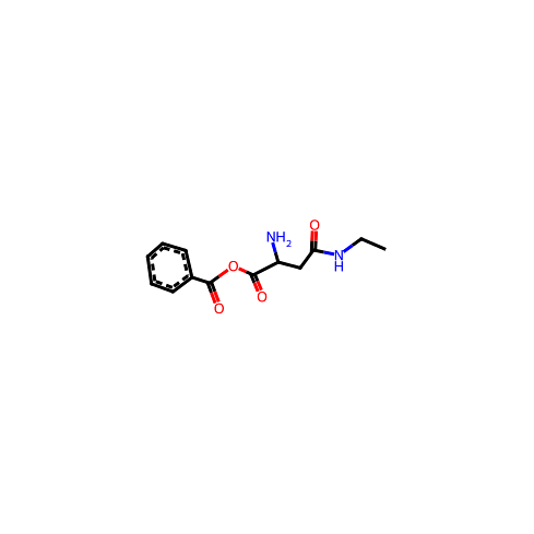 CCNC(=O)CC(N)C(=O)OC(=O)c1ccccc1